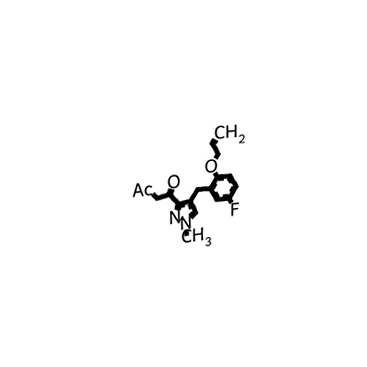 C=CCOc1ccc(F)cc1Cc1cn(C)nc1C(=O)CC(C)=O